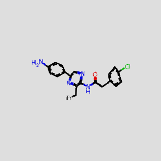 CC(C)Cc1nc(-c2ccc(N)cc2)cnc1NC(=O)Cc1ccc(Cl)cc1